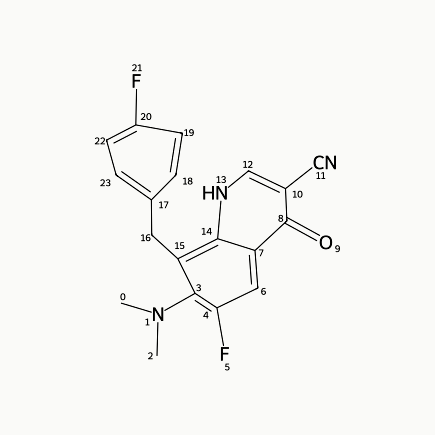 CN(C)c1c(F)cc2c(=O)c(C#N)c[nH]c2c1Cc1ccc(F)cc1